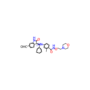 Cc1cc(N/C(=C2\C(=O)Nc3cc(C=O)ccc32)c2ccccc2)ccc1C(=O)NOCCN1CCOCC1